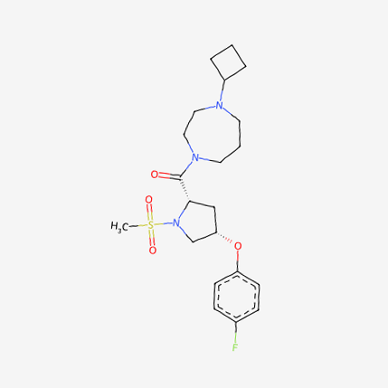 CS(=O)(=O)N1C[C@@H](Oc2ccc(F)cc2)C[C@H]1C(=O)N1CCCN(C2CCC2)CC1